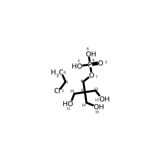 CCCl.O=P(O)(O)OCC(CO)(CO)CO